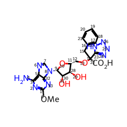 COc1nc(N)c2ncn([C@@H]3O[C@H](CO[C@@](Cc4ccccc4)(C(=O)O)c4nnn[nH]4)[C@@H](O)[C@H]3O)c2n1